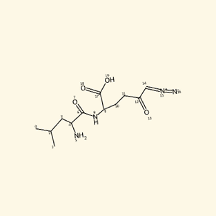 CC(C)CC(N)C(=O)NC(CCC(=O)C=[N+]=[N-])C(=O)O